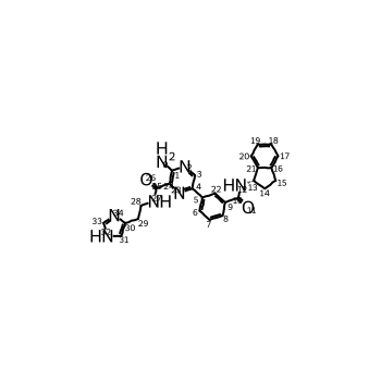 Nc1ncc(-c2cccc(C(=O)N[C@H]3CCc4ccccc43)c2)nc1C(=O)NCCc1c[nH]cn1